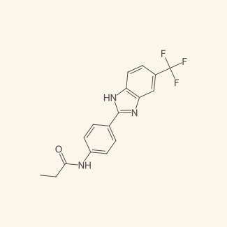 CCC(=O)Nc1ccc(-c2nc3cc(C(F)(F)F)ccc3[nH]2)cc1